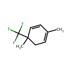 CC1=CCC(C)(C(F)(F)F)C=C1